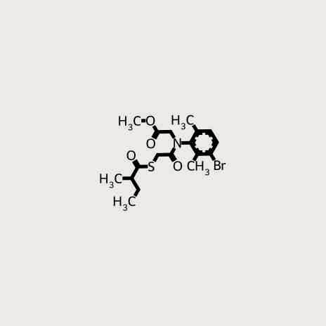 CCC(C)C(=O)SCC(=O)N(CC(=O)OC)c1c(C)ccc(Br)c1C